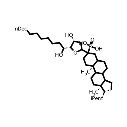 CCCCCCCCCCCCCCCCC(O)[C@H]1OC(C2(P(=O)(O)O)CC[C@@]3(C)C(CCC4C3CC[C@@]3(C)C4CC[C@@H]3[C@H](C)CCC)C2)C[C@H]1O